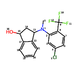 CN(c1cc(Cl)[c]cc1C(F)(F)F)C1CC(O)c2ccccc21